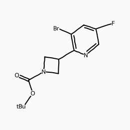 CC(C)(C)OC(=O)N1CC(c2ncc(F)cc2Br)C1